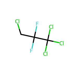 FC(F)(CCl)C(Cl)(Cl)Cl